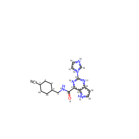 N#CC1CCC(CNC(=O)c2nc(-n3ccnc3)nc3cc[nH]c23)CC1